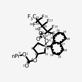 CCCOC(=O)OC1CCS(OS(=O)(=O)C(F)(F)C(F)(F)C(F)(F)C(F)(F)F)(c2cccc3ccccc23)C1